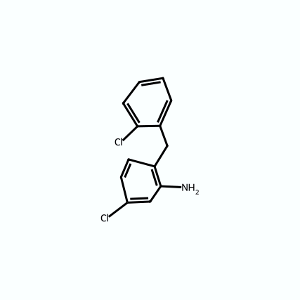 Nc1cc(Cl)ccc1Cc1ccccc1Cl